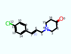 O=C1CCN(C/C=C/c2ccc(Cl)cc2)CC1